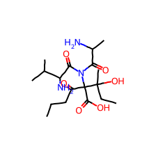 CCCC(=O)C(C(=O)O)(N(C(=O)C(C)N)C(=O)C(N)C(C)C)C(C)(O)CC